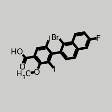 COc1c(C(=O)O)cc(I)c(-c2ccc3cc(F)ccc3c2Br)c1I